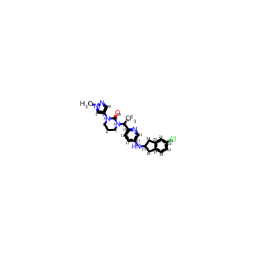 Cn1cc(N2CCCN(C(c3ccc(NC4Cc5ccc(Cl)cc5C4)cn3)C(F)(F)F)C2=O)cn1